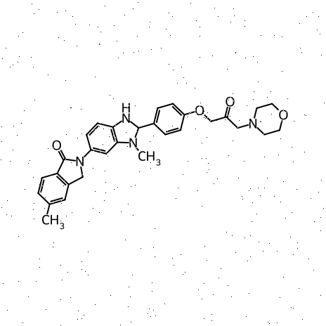 Cc1ccc2c(c1)CN(c1ccc3c(c1)N(C)C(c1ccc(OCC(=O)CN4CCOCC4)cc1)N3)C2=O